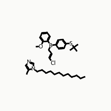 CCCCCCCCCCCCn1cncc1C.COc1ccccc1B(CC=CCl)c1ccc(SC(C)(C)C)cc1